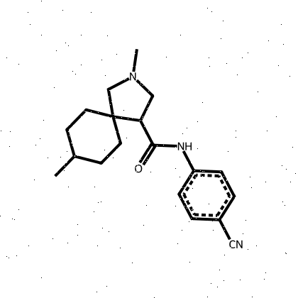 CC1CCC2(CC1)CN(C)CC2C(=O)Nc1ccc(C#N)cc1